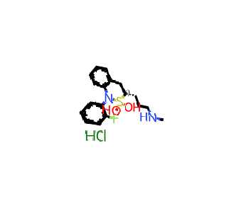 CNCCC[C@H]1Cc2ccccc2N(c2ccccc2F)S1(O)O.Cl